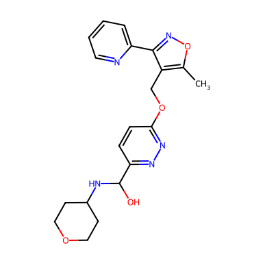 Cc1onc(-c2ccccn2)c1COc1ccc(C(O)NC2CCOCC2)nn1